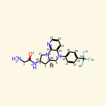 NCC(=O)N[C@@H]1C[C@@H]2CN(c3ccc(C(F)(F)F)cc3)c3cccnc3N2C1